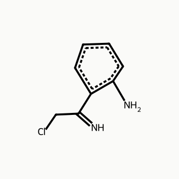 N=C(CCl)c1ccccc1N